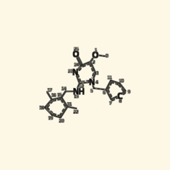 COc1cn(Cc2ccccc2)c(NCc2c(C)cccc2C)nc1=O